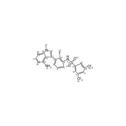 Cn1cc(-c2cccc(NS(=O)(=O)c3cc(C(F)(F)F)cc(C(F)(F)F)c3)c2F)c2c(N)ncnc21